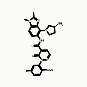 COc1ccc(F)cc1-n1nccc(C(=O)Nc2ccc3c(nc(C)n3C)c2N2CC[C@H](N)C2)c1=O